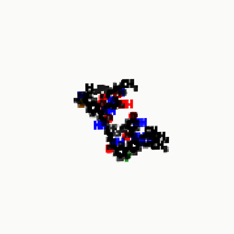 Cc1cc(C(C(=O)N2C[C@H](O)C[C@H]2C(=O)NC(CC(=O)NCCCCNC(=O)c2ccc(F)c(-c3ccc(N4C[C@@H](C)N(C)[C@@H](C)C4)c(NC(=O)c4c[nH]c(=O)cc4C(F)(F)F)c3)c2)c2ccc(-c3scnc3C)cc2)C(C)C)on1